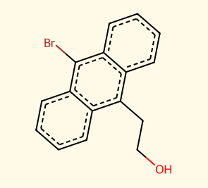 OCCc1c2ccccc2c(Br)c2ccccc12